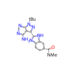 CNC(=O)c1ccc2nc(-c3nn(C(C)(C)C)c4ncnc(N)c34)[nH]c2c1